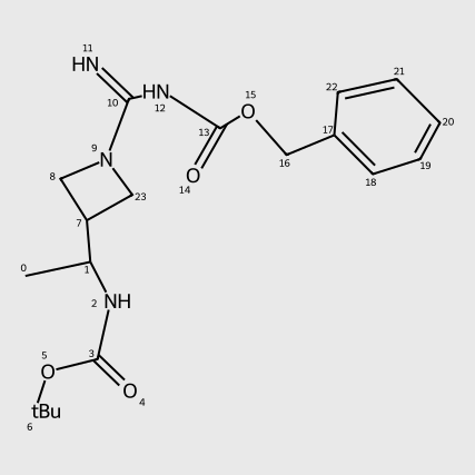 CC(NC(=O)OC(C)(C)C)C1CN(C(=N)NC(=O)OCc2ccccc2)C1